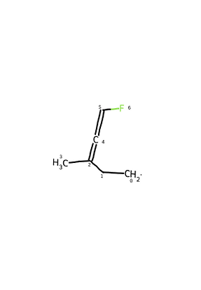 [CH2]CC(C)=C=CF